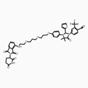 CC1(C)C(=O)N(c2ccc(C#N)c(C(F)(F)F)c2)C(c2cccs2)N1c1ccc(OCCCOCCCOCCNc2cccc3c2C(=O)N(C2CCC(=O)NC2=O)C3=O)cc1